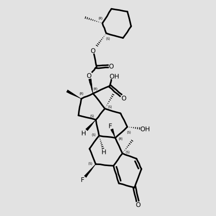 C[C@@H]1CCCC[C@@H]1OC(=O)O[C@]1(C(=O)O)[C@H](C)C[C@H]2[C@@H]3C[C@H](F)C4=CC(=O)C=C[C@]4(C)[C@@]3(F)[C@@H](O)C[C@@]21C